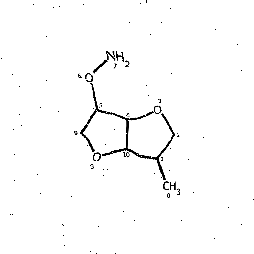 CC1COC2C(ON)COC12